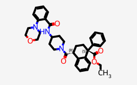 CCOC(=O)[C@]1(c2ccccc2)CC[C@@H](C(=O)N2CCC(NC(=O)c3ccccc3N3CCOCC3)CC2)c2ccccc21